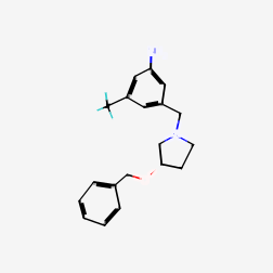 Nc1cc(CN2CC[C@@H](OCc3ccccc3)C2)cc(C(F)(F)F)c1